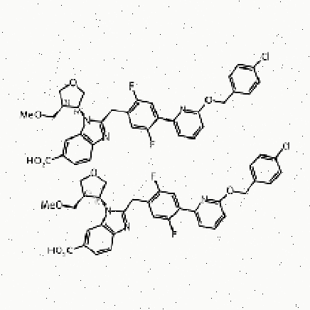 COC[C@H]1COC[C@H]1n1c(Cc2cc(F)c(-c3cccc(OCc4ccc(Cl)cc4)n3)cc2F)nc2ccc(C(=O)O)cc21.COC[C@H]1COC[C@H]1n1c(Cc2cc(F)c(-c3cccc(OCc4ccc(Cl)cc4)n3)cc2F)nc2ccc(C(=O)O)cc21